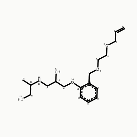 C=CCOCCOCc1ccccc1OCC(O)CNC(C)CO